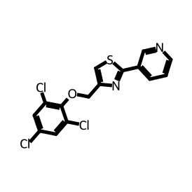 Clc1cc(Cl)c(OCc2csc(-c3cccnc3)n2)c(Cl)c1